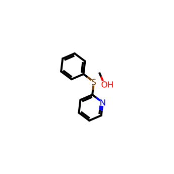 CO.c1ccc(Sc2ccccn2)cc1